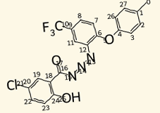 Cc1ccc(Oc2ccc(C(F)(F)F)cc2N=[N+]=NC(=O)c2cc(Cl)ccc2O)cc1